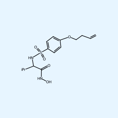 C=CCCOc1ccc(S(=O)(=O)NC(C(=O)NO)C(C)C)cc1